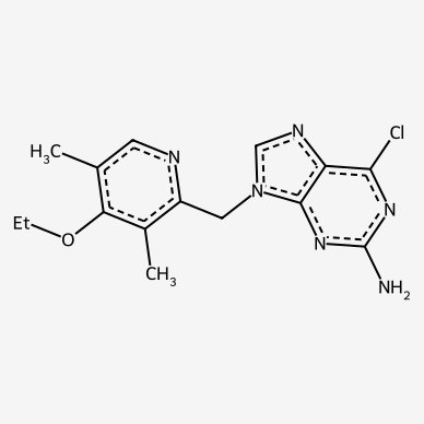 CCOc1c(C)cnc(Cn2cnc3c(Cl)nc(N)nc32)c1C